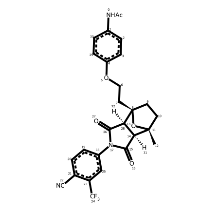 CC(=O)Nc1ccc(OCC[C@@]23CC[C@@](C)(O2)[C@H]2C(=O)N(c4ccc(C#N)c(C(F)(F)F)c4)C(=O)[C@H]23)cc1